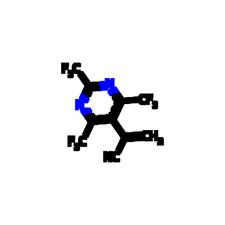 C=C(C#N)c1c(C(F)(F)F)nc(C(F)(F)F)nc1C(F)(F)F